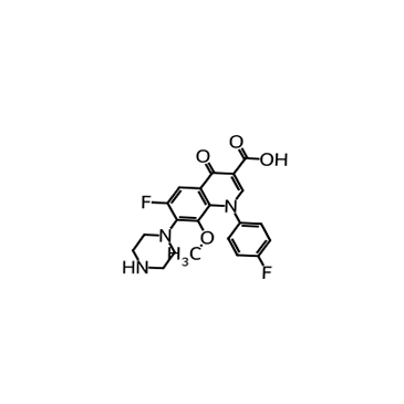 COc1c(N2CCNCC2)c(F)cc2c(=O)c(C(=O)O)cn(-c3ccc(F)cc3)c12